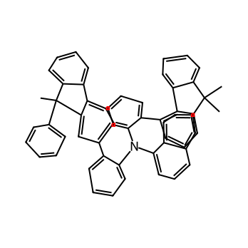 CC1(C)c2ccccc2-c2c(-c3ccccc3N(c3ccccc3-c3ccc4c(c3)C(C)(c3ccccc3)c3ccccc3-4)c3cccc4ccccc34)cccc21